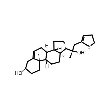 C[C@]12CC[C@H]3[C@@H](CC=C4C[C@@H](O)CC[C@@]43C)[C@@H]1CC[C@@H]2[C@@](C)(O)CC1=CCCS1